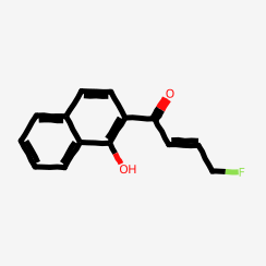 O=C(/C=C/CF)c1ccc2ccccc2c1O